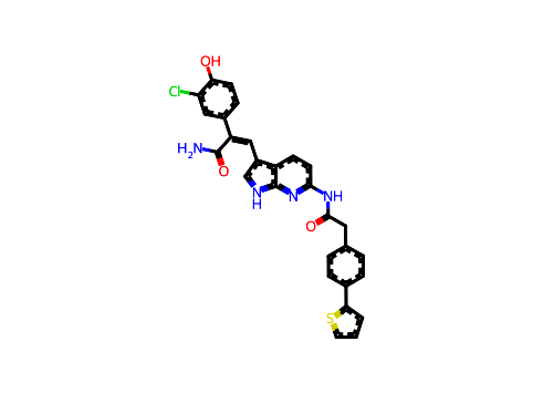 NC(=O)C(=Cc1c[nH]c2nc(NC(=O)Cc3ccc(-c4cccs4)cc3)ccc12)c1ccc(O)c(Cl)c1